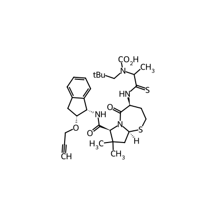 C#CCO[C@@H]1Cc2ccccc2[C@@H]1NC(=O)[C@H]1N2C(=O)[C@@H](NC(=S)C(C)N(CC(C)(C)C)C(=O)O)CCS[C@H]2CC1(C)C